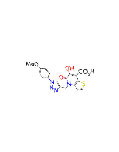 COc1ccc(-n2cc(Cn3c(=O)c(O)c(C(=O)O)c4sccc43)nn2)cc1